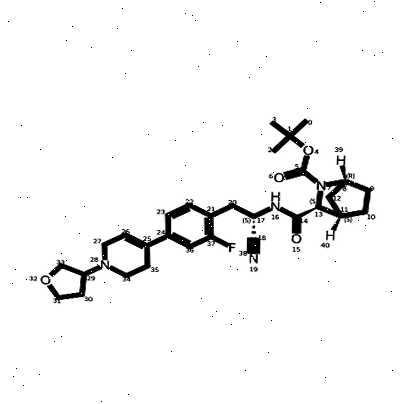 CC(C)(C)OC(=O)N1[C@@H]2CC[C@@H](C2)[C@H]1C(=O)N[C@H](C#N)Cc1ccc(C2=CCN(C3CCOC3)CC2)cc1F